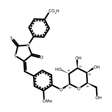 COc1cc(C=C2SC(=S)N(c3ccc(C(=O)O)cc3)C2=O)ccc1O[C@@H]1O[C@H](CO)[C@H](O)[C@H](O)[C@H]1O